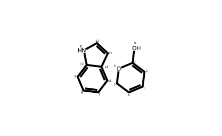 OC1=CC=CCO1.c1ccc2[nH]ccc2c1